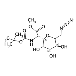 COC(=O)C(NC(=O)OC(C)(C)C)[C@@H]1OC(CN=[N+]=[N-])[C@@H](O)[C@H](O)C1O